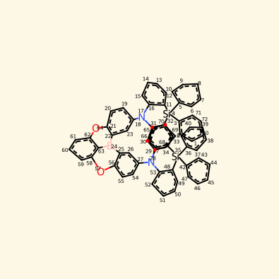 c1ccc([Si]2(c3ccccc3)c3ccccc3N(c3ccc4c(c3)B3c5cc(N6c7ccccc7[Si](c7ccccc7)(c7ccccc7)c7ccccc76)ccc5Oc5cccc(c53)O4)c3ccccc32)cc1